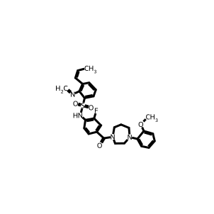 C=Nc1c(/C=C\C)cccc1S(=O)(=O)Nc1ccc(C(=O)N2CCCN(c3ccccc3OC)CC2)cc1F